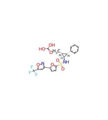 C[C@H]1[C@H](NS(=O)(=O)c2ccc(-c3cc(C(F)(F)F)on3)o2)[C@H]1c1ccccc1.O=C(O)O